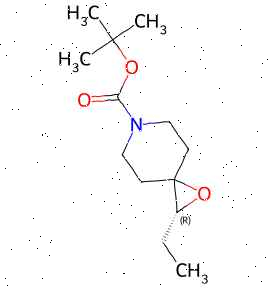 CC[C@H]1OC12CCN(C(=O)OC(C)(C)C)CC2